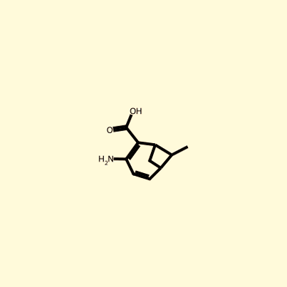 CC1C2C=CC(N)=C(C(=O)O)C1C2